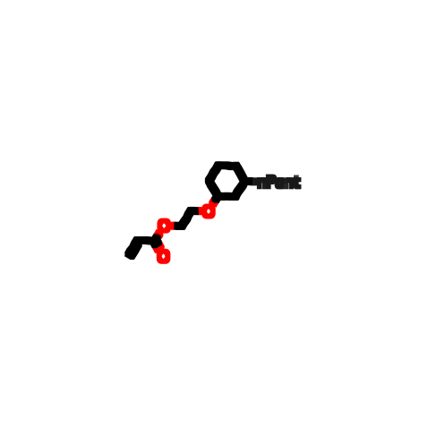 C=CC(=O)OCCOC1CCCC(CCCCC)C1